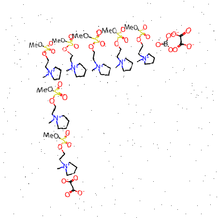 COS(=O)(=O)OCC[N+]1(C)CCCC1.COS(=O)(=O)OCC[N+]1(C)CCCC1.COS(=O)(=O)OCC[N+]1(C)CCCC1.COS(=O)(=O)OCC[N+]1(C)CCCC1.COS(=O)(=O)OCC[N+]1(C)CCCC1.COS(=O)(=O)OCC[N+]1(C)CCCC1.COS(=O)(=O)OCC[N+]1(C)CCCC1.O=C([O-])C(=O)[O-].O=C([O-])C(=O)[O-].[O-]B([O-])[O-]